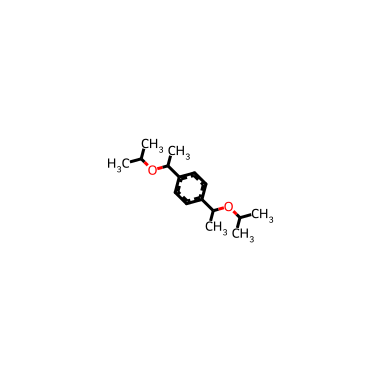 CC(C)OC(C)c1ccc(C(C)OC(C)C)cc1